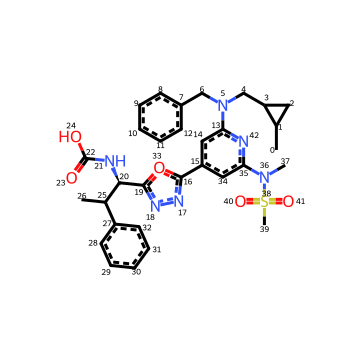 CC1CC1CN(Cc1ccccc1)c1cc(-c2nnc([C@H](NC(=O)O)C(C)c3ccccc3)o2)cc(N(C)S(C)(=O)=O)n1